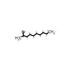 [CH2]CCCCCCCC(C)Br